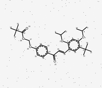 CC(C)Oc1cc(OC(C)C)c(C(C)(C)C)cc1C=CC(=O)c1ccc(OCOC(=O)C(C)(C)C)cc1